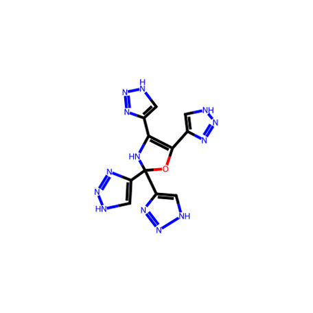 c1[nH]nnc1C1=C(c2c[nH]nn2)OC(c2c[nH]nn2)(c2c[nH]nn2)N1